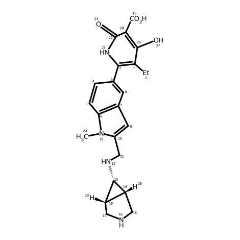 CCc1c(-c2ccc3c(c2)cc(CN[C@@H]2[C@@H]4CNC[C@@H]42)n3C)[nH]c(=O)c(C(=O)O)c1O